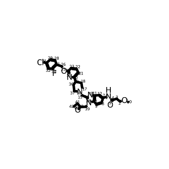 COCCC(=O)Nc1ccc2c(c1)nc(CN1CCC(c3cccc(OCc4ccc(Cl)cc4F)n3)CC1)n2CC1CCO1